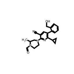 CC1CN(c2nc(C3CC3)c(-c3ccccc3CO)cc2C#N)CCN1C=O